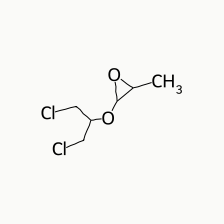 CC1OC1OC(CCl)CCl